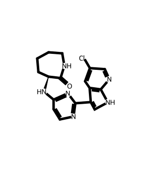 O=C1NCCCC[C@@H]1Nc1ccnc(-c2c[nH]c3ncc(Cl)cc23)n1